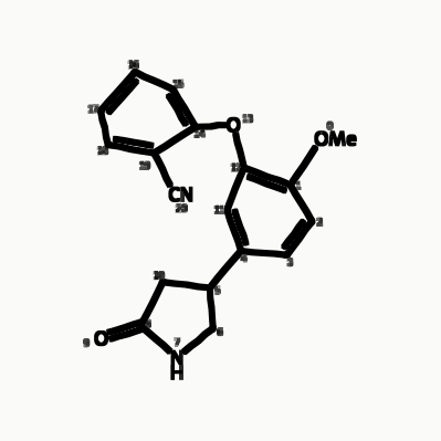 COc1ccc(C2CNC(=O)C2)cc1Oc1ccccc1C#N